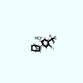 Cl.Fc1cc([C@H]2CC3CCC2N3)ccc1C(F)(F)F